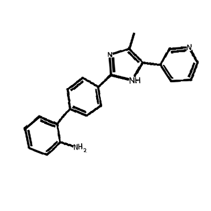 Cc1nc(-c2ccc(-c3ccccc3N)cc2)[nH]c1-c1cccnc1